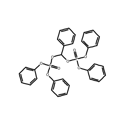 O=P(Oc1ccccc1)(Oc1ccccc1)OC(OP(=O)(Oc1ccccc1)Oc1ccccc1)c1ccccc1